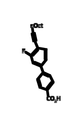 CCCCCCCCC#Cc1ccc(-c2ccc(C(=O)O)cc2)cc1F